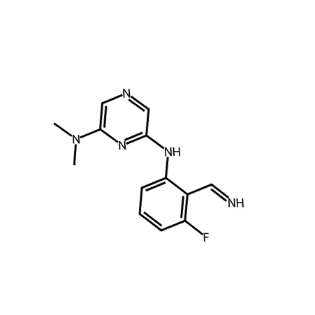 CN(C)c1cncc(Nc2cccc(F)c2C=N)n1